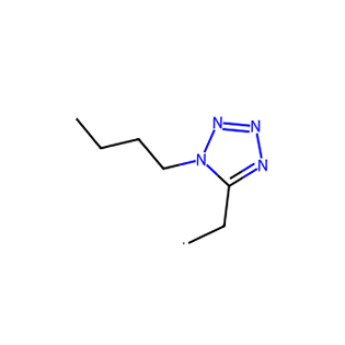 [CH2]Cc1nnnn1CCCC